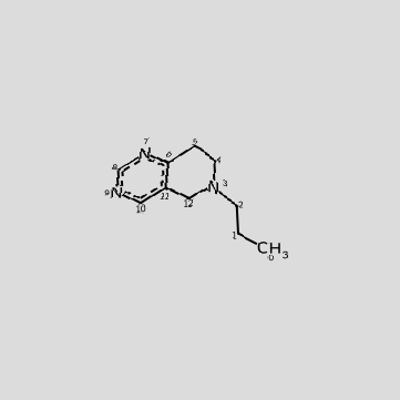 CCCN1CCc2ncncc2C1